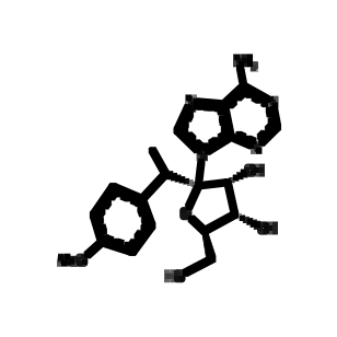 COc1ccc(C(C)[C@@]2(n3cnc4c(N)ncnc43)O[C@H](CO)[C@@H](O)[C@H]2O)cc1